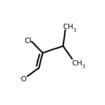 CC(C)/C(Cl)=C/[O]